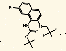 CC(C)(C)OC(=O)Nc1c(OCC(F)(F)F)ccc2ccc(Br)cc12